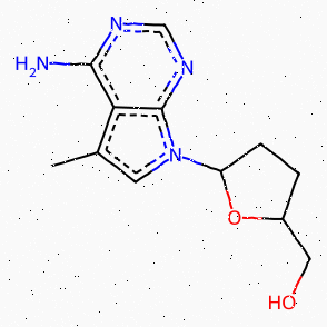 Cc1cn(C2CCC(CO)O2)c2ncnc(N)c12